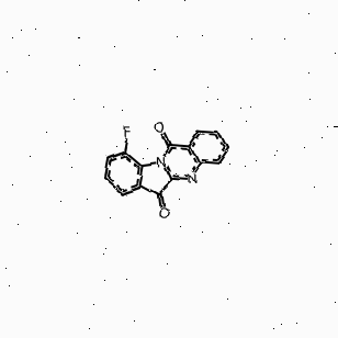 O=C1c2cccc(F)c2-n2c1nc1ccccc1c2=O